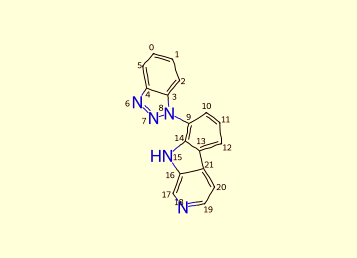 c1ccc2c(c1)nnn2-c1cccc2c1[nH]c1cnccc12